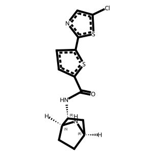 O=C(N[C@@H]1C[C@H]2CC[C@@H]1N2)c1ccc(-c2ncc(Cl)s2)s1